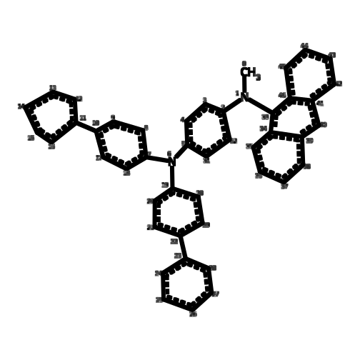 CN(c1ccc(N(c2ccc(-c3ccccc3)cc2)c2ccc(-c3ccccc3)cc2)cc1)c1c2ccccc2cc2ccccc12